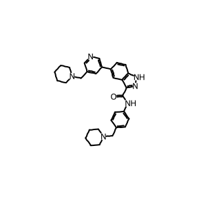 O=C(Nc1ccc(CN2CCCCC2)cc1)c1n[nH]c2ccc(-c3cncc(CN4CCCCC4)c3)cc12